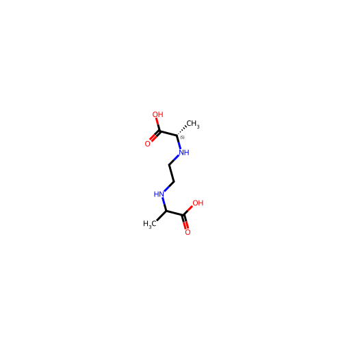 CC(NCCN[C@@H](C)C(=O)O)C(=O)O